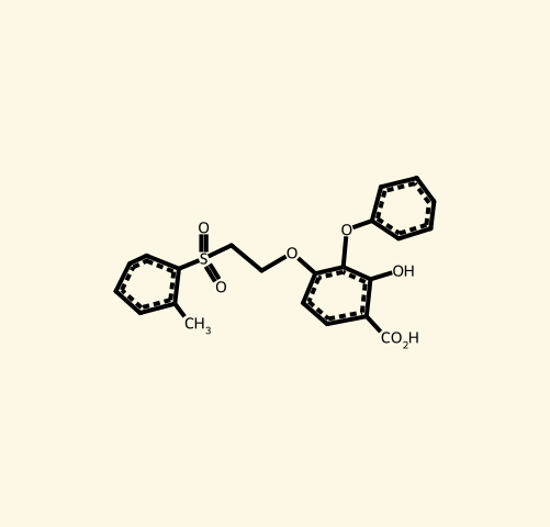 Cc1ccccc1S(=O)(=O)CCOc1ccc(C(=O)O)c(O)c1Oc1ccccc1